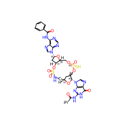 CC(C)C(=O)Nc1nc2c(ncn2[C@@H]2O[C@@H]3CNS(=O)(=O)O[C@H]4C[C@H](n5cnc6c(NC(=O)c7ccccc7)ncnc65)O[C@@H]4CO[P@@](=O)(S)O[C@@H]2C3)c(=O)[nH]1